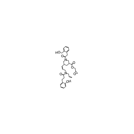 C=CCN(C/C=C\C1CC(C(=O)OCC2CO2)CN(C(=O)Cc2ccccc2CO)C1)C(=O)CCc1ccccc1O